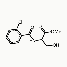 COC(=O)C(CO)NC(=O)c1ccccc1Cl